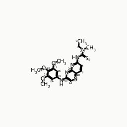 CCN(C)C(=S)Nc1ccc2ncc(Nc3cc(OC)c(OC)c(OC)c3)nc2n1